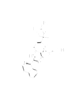 CC(C)(C)[SiH2]OC(C)(C)C1=CCC(NC(=O)c2nccc3ccccc23)C(=O)N(CC(=O)O)C1